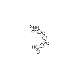 O=C(NC1CC1)c1ccc(OC2CCN(C(=O)c3ccc(C4(O)COC4)cc3)CC2)cc1